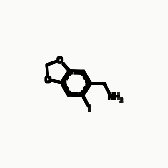 NCc1cc2c(cc1I)OCO2